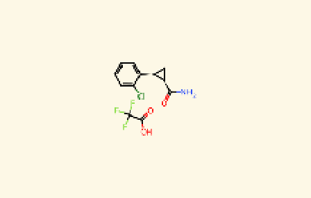 NC(=O)[C@@H]1C[C@@H]1c1ccccc1Cl.O=C(O)C(F)(F)F